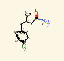 N#CC(CC(N)=O)Cc1ccc(Cl)cc1